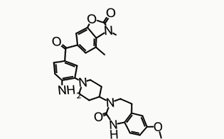 COc1ccc2c(c1)CCN(C1CCN(c3cc(C(=O)c4cc(C)c5c(c4)oc(=O)n5C)ccc3N)CC1)C(=O)N2